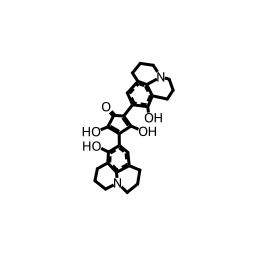 O=C1C(O)=C(c2cc3c4c(c2O)CCCN4CCC3)C(O)=C1c1cc2c3c(c1O)CCCN3CCC2